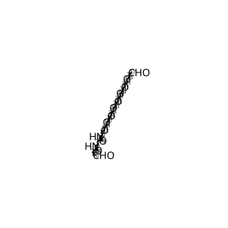 O=C/C=C\C(=O)NCCC(=O)NCCOCCOCCOCCOCCOCCOCCOCCOCCC=O